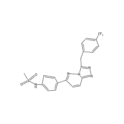 CS(=O)(=O)Nc1ccc(-c2ccc3nnc(Cc4ccc(C(F)(F)F)cc4)n3n2)cc1